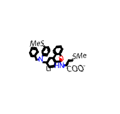 CSCC[C@H](NC(=O)c1ccc(CN(Cc2ccccc2)c2cccc(SC)c2)cc1-c1ccccc1C)C(=O)[O-].[Li+]